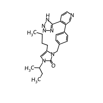 CCCCc1cn(C(C)CC)c(=O)n1Cc1ccc(-c2cnccc2-c2nnn[nH]2)cc1